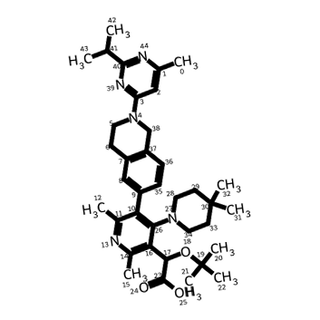 Cc1cc(N2CCc3cc(-c4c(C)nc(C)c(C(OC(C)(C)C)C(=O)O)c4N4CCC(C)(C)CC4)ccc3C2)nc(C(C)C)n1